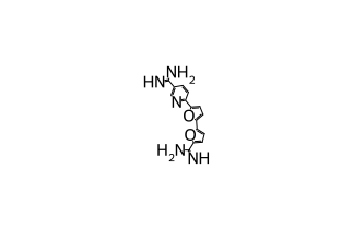 N=C(N)c1ccc(-c2ccc(-c3ccc(C(=N)N)o3)o2)nc1